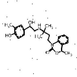 Cc1cc(C(O)CNC(C)(C)CCN2C(=O)OC(C)c3ccccc32)ccc1O